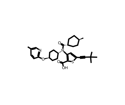 Cc1ccc(O[C@H]2CC[C@H](N(c3cc(C#CC(C)(C)C)sc3C(=O)O)C(=O)[C@H]3CC[C@H](C)CC3)CC2)nc1